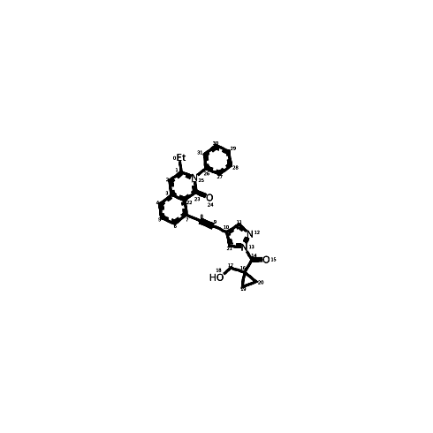 CCc1cc2cccc(C#Cc3cnn(C(=O)C4(CO)CC4)c3)c2c(=O)n1-c1ccccc1